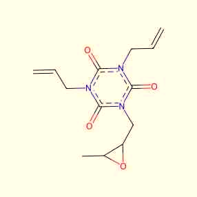 C=CCn1c(=O)n(CC=C)c(=O)n(CC2OC2C)c1=O